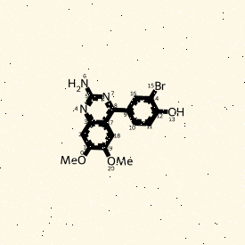 COc1cc2nc(N)nc(-c3ccc(O)c(Br)c3)c2cc1OC